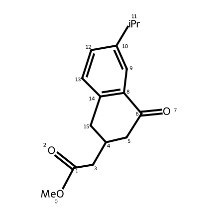 COC(=O)CC1CC(=O)c2cc(C(C)C)ccc2C1